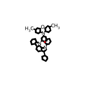 Cc1ccc2c(c1)Oc1cc(C)ccc1N2c1cccc(-n2c3ccccc3c3ccc4c(-c5ccccc5)cn(-c5ccccc5)c4c32)c1